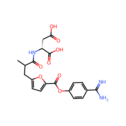 CC(Cc1ccc(C(=O)Oc2ccc(C(=N)N)cc2)o1)C(=O)N[C@H](CC(=O)O)C(=O)O